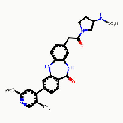 COc1cc(-c2ccc3c(c2)Nc2ccc(CC(=O)N4CCC(NC(=O)O)C4)cc2NC3=O)c(C)cn1